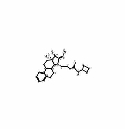 C[C@]12CCC3c4ccccc4CCC3C1[C@H](CCCC(=O)NC1CCC1)/C(=C/O)C2=O